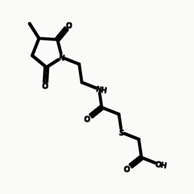 CC1CC(=O)N(CCNC(=O)CSCC(=O)O)C1=O